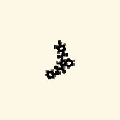 Cc1c(C(=O)Nc2ccc(F)c(F)c2)c2n(c1C(=O)C(=O)Nc1cccnc1)CCCC2